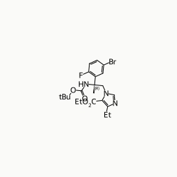 CCOC(=O)c1c(CC)ncn1C[C@](C)(NC(=O)OC(C)(C)C)c1cc(Br)ccc1F